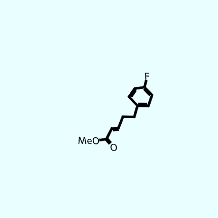 COC(=O)C=CCCc1ccc(F)cc1